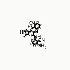 Cc1cc(-n2c(C(C)Nc3ncnc(N)c3C#N)nc3cccc(Cl)c3c2=O)n[nH]1